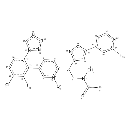 CC(C)C(=O)N(C)CC(c1ccc(-c2c(-n3cnnn3)ccc(Cl)c2F)c[n+]1[O-])n1cc(-c2ccnc(F)c2)cn1